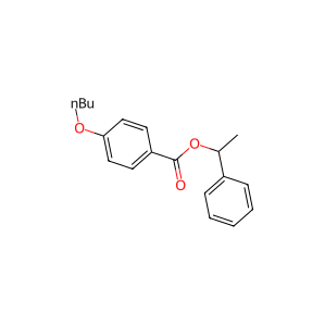 CCCCOc1ccc(C(=O)OC(C)c2ccccc2)cc1